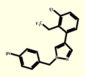 CCc1cccc(-c2cnn(Cc3ccc(C(C)C)cc3)c2)c1CC(F)(F)F